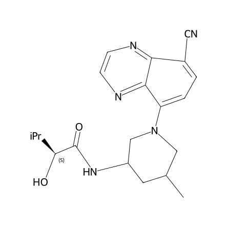 CC1CC(NC(=O)[C@@H](O)C(C)C)CN(c2ccc(C#N)c3nccnc23)C1